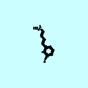 O=C(O)C=CC=Cc1cccc(F)c1